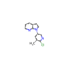 Cc1cc(-n2ccc3cccnc32)cnc1Cl